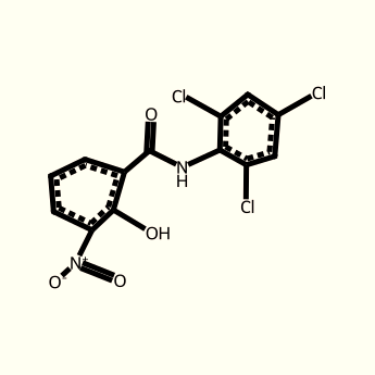 O=C(Nc1c(Cl)cc(Cl)cc1Cl)c1cccc([N+](=O)[O-])c1O